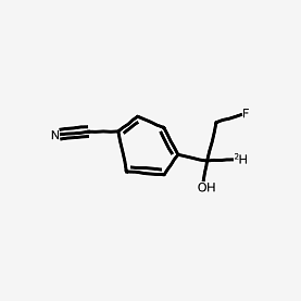 [2H]C(O)(CF)c1ccc(C#N)cc1